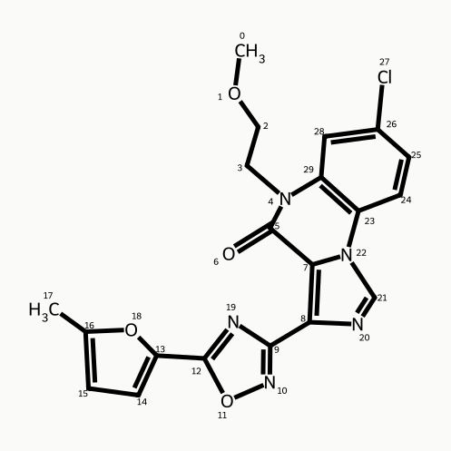 COCCn1c(=O)c2c(-c3noc(-c4ccc(C)o4)n3)ncn2c2ccc(Cl)cc21